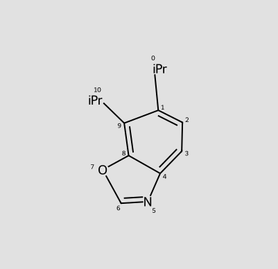 CC(C)c1ccc2ncoc2c1C(C)C